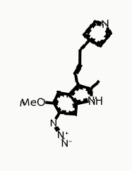 COc1cc2c(C=CCc3ccncc3)c(C)[nH]c2cc1N=[N+]=[N-]